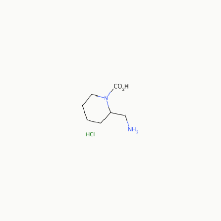 Cl.NCC1CCCCN1C(=O)O